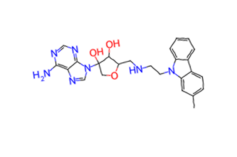 Cc1ccc2c3ccccc3n(CCNCC3OCC(O)(n4cnc5c(N)ncnc54)C3O)c2c1